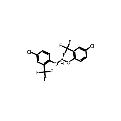 FC(F)(F)c1cc(Cl)ccc1OBOc1ccc(Cl)cc1C(F)(F)F